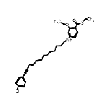 CCOC(=O)c1ccc(NCCCCCCCCCCCC#Cc2ccc(Cl)cc2)cc1OCC